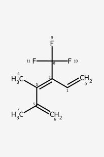 C=C/C(=C(/C)C(=C)C)C(F)(F)F